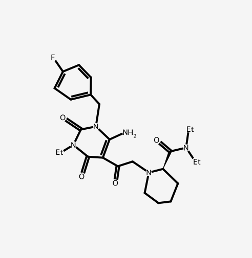 CCN(CC)C(=O)[C@H]1CCCCN1CC(=O)c1c(N)n(Cc2ccc(F)cc2)c(=O)n(CC)c1=O